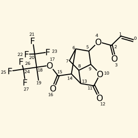 C=CC(=O)OC1C2CC3C1OC(=O)C3C2C(=O)OC(C)(C(F)(F)F)C(F)(F)F